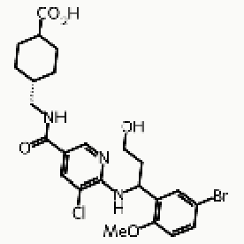 COc1ccc(Br)cc1C(CCO)Nc1ncc(C(=O)NC[C@H]2CC[C@H](C(=O)O)CC2)cc1Cl